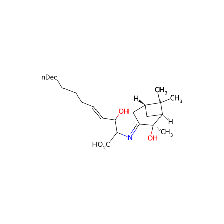 CCCCCCCCCCCCCC=CC(O)C(N=C1C[C@H]2C[C@@H](C2(C)C)[C@@]1(C)O)C(=O)O